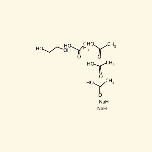 CC(=O)O.CC(=O)O.CC(=O)O.CC(=O)O.OCCO.[NaH].[NaH]